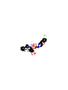 O=C(O)c1ccccc1C1CCN(C(=O)c2ccc(O)cc2OC[C@@H](O)CN2CCC3(CC2)Cc2cc(Cl)ccc2O3)C1